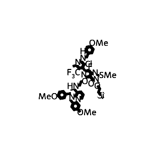 COc1ccc(CNc2nc(C)c(C(F)(F)F)c(-c3nc(OCCN[C@H](C)c4cccnc4N(Cc4ccc(OC)cc4)Cc4ccc(OC)cc4)c4c(=O)n(COCC[Si](C)(C)C)c(SC)nc4c3F)c2Cl)cc1